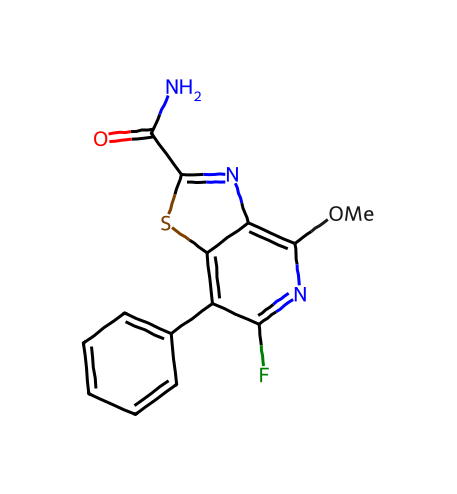 COc1nc(F)c(-c2ccccc2)c2sc(C(N)=O)nc12